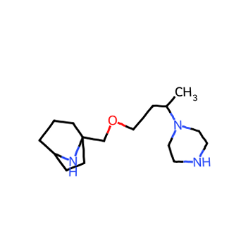 CC(CCOCC12CCCC(CC1)N2)N1CCNCC1